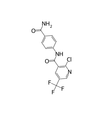 NC(=O)c1ccc(NC(=O)c2cc(C(F)(F)F)cnc2Cl)cc1